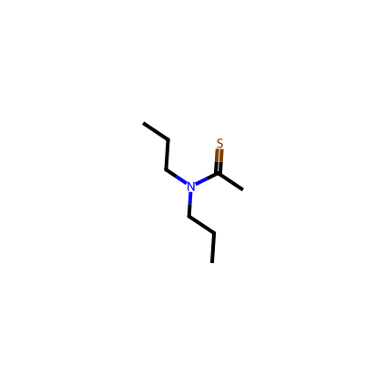 CCCN(CCC)C(C)=S